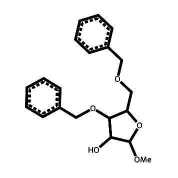 COC1OC(COCc2ccccc2)C(OCc2ccccc2)C1O